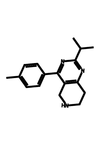 Cc1ccc(-c2nc(C(C)C)nc3c2CNCC3)cc1